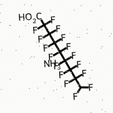 N.O=C(O)C(F)(F)C(F)(F)C(F)(F)C(F)(F)C(F)(F)C(F)(F)C(F)(F)C(F)F